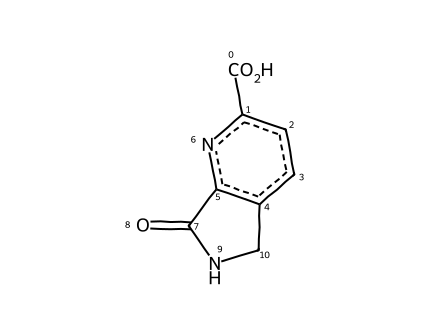 O=C(O)c1ccc2c(n1)C(=O)NC2